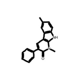 Cc1ccc2[nH]c3c(cc(-c4ccccc4)c(=O)n3C)c2c1